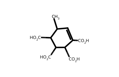 CC1C=C(C(=O)O)C(C(=O)O)C(C(=O)O)C1C(=O)O